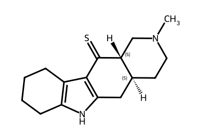 CN1CC[C@H]2Cc3[nH]c4c(c3C(=S)[C@@H]2C1)CCCC4